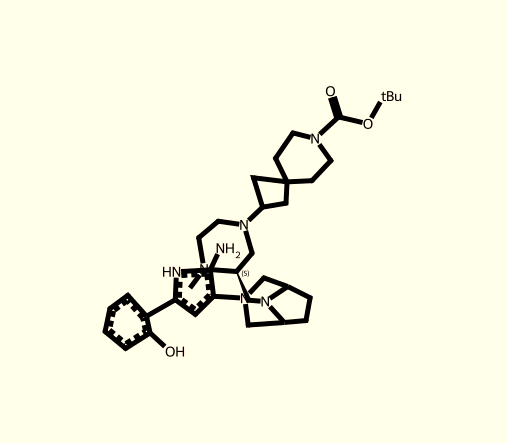 CN1CCN(C2CC3(CCN(C(=O)OC(C)(C)C)CC3)C2)C[C@H]1CN1C2CCC1CN(c1cc(-c3ccccc3O)[nH]c1N)C2